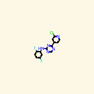 Fc1ccc(F)c(Nc2ncnc(-c3ccnc(Cl)c3)n2)c1